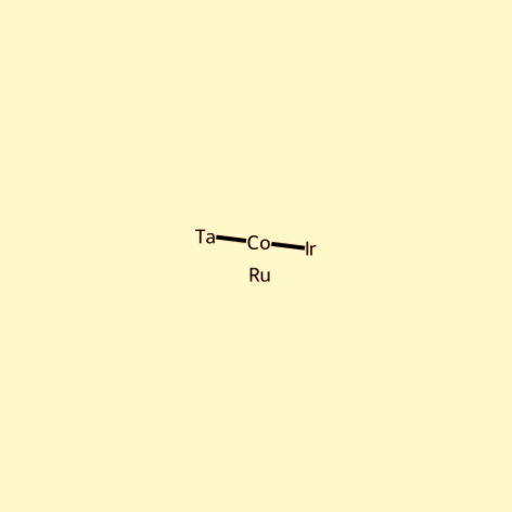 [Ru].[Ta][Co][Ir]